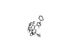 [C-]#[N+]/C(C#N)=C\C1=C(c2cc(-c3ccccc3)sc2C)C(F)(F)C(F)(F)C1(F)F